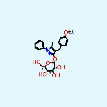 CCOc1ccc(Cc2c(O[C@@H]3O[C@H](CO)[C@@H](O)[C@H](O)[C@H]3O)nn(-c3ccccc3)c2C)cc1